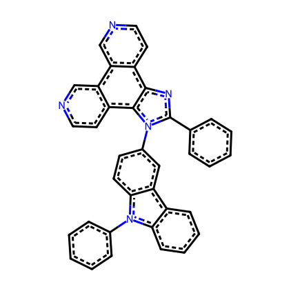 c1ccc(-c2nc3c4ccncc4c4cnccc4c3n2-c2ccc3c(c2)c2ccccc2n3-c2ccccc2)cc1